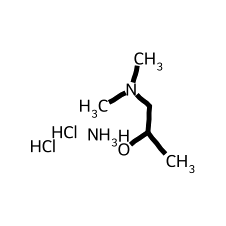 CC(O)CN(C)C.Cl.Cl.N